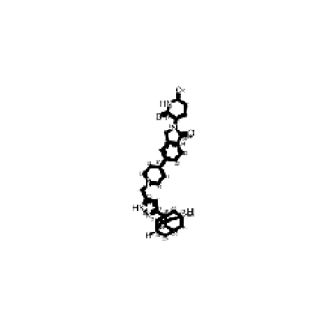 O=C1CCC(N2Cc3cc(C4CCN(Cc5cc(C67CC8C[C@H](C6)C[C@H](C8)C7)n[nH]5)CC4)ccc3C2=O)C(=O)N1